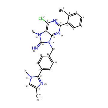 CC(C)c1ccccc1-c1nc(Cl)c2c(n1)n(Cc1ccc(-c3nc(C(F)(F)F)cn3C)cc1)c(=N)n2C